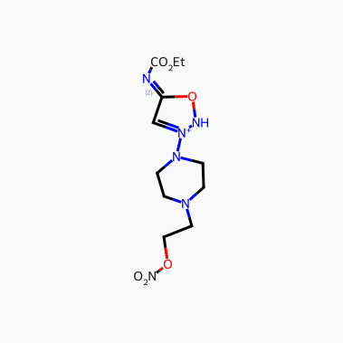 CCOC(=O)/N=c1/c[n+](N2CCN(CCO[N+](=O)[O-])CC2)[nH]o1